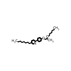 CCCCCCCCc1ccc(-c2ccc(OC[C@H](C)OCCCCCC)cc2)nc1